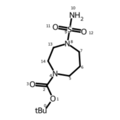 CC(C)(C)OC(=O)N1CCCN(S(N)(=O)=O)CC1